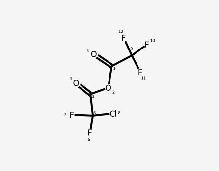 O=C(OC(=O)C(F)(F)Cl)C(F)(F)F